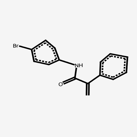 C=C(C(=O)Nc1ccc(Br)cc1)c1ccccc1